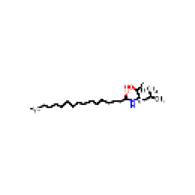 CCCCCCCCCCCCCCCC(=O)N[C@@H](CC(C)C)C(C)O